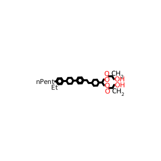 C=C(CO)C(=O)OCC(COC(=O)C(=C)CO)C1CCC(CCc2ccc(C3CCC(c4ccc(CCCCC)c(CC)c4)CC3)cc2)CC1